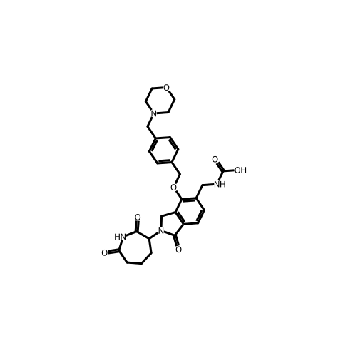 O=C(O)NCc1ccc2c(c1OCc1ccc(CN3CCOCC3)cc1)CN(C1CCCC(=O)NC1=O)C2=O